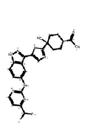 O=C(O)[C@H]1CC[C@](O)(c2ncc(-c3n[nH]c4ccc(Nc5nccc(C(F)F)n5)cc34)s2)CC1